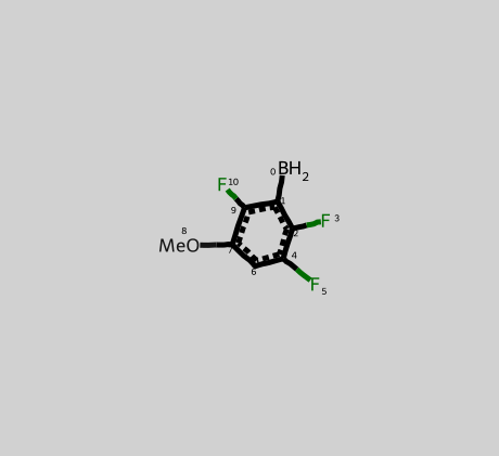 Bc1c(F)c(F)cc(OC)c1F